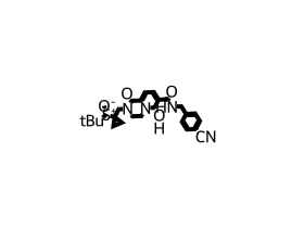 CC(C)(C)[S+]([O-])C1(CN2CCN3C(=CC=C(C(=O)NCc4ccc(C#N)cc4)C3O)C2=O)CC1